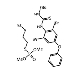 CC(C)c1cc(Oc2ccccc2)cc(C(C)C)c1NC(=S)NC(C)(C)C.CCSCCSP(=O)(OC)OC